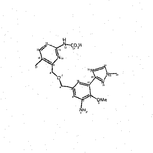 COc1c(N)cc(COCc2nc(NC(=O)O)ccc2C)cc1-c1ncn(C)n1